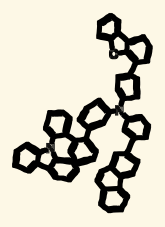 c1cc(-c2ccc3c(ccc4ccccc43)c2)cc(N(c2ccc(-c3cccc4c3oc3ccccc34)cc2)c2cccc(-c3ccccc3-c3ccccc3-n3c4ccccc4c4ccccc43)c2)c1